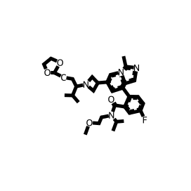 COCCN(C(=O)c1cc(F)ccc1-c1cc(C2CN(C(CCC3OCCO3)C(C)C)C2)cn2c(C)ncc12)C(C)C